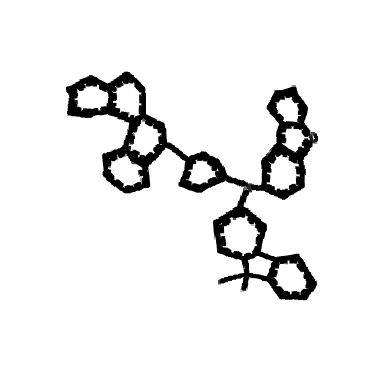 CC1(C)c2ccccc2-c2cc(N(c3ccc(-c4cc5ccc6ccccc6c5c5ccccc45)cc3)c3ccc4oc5ccccc5c4c3)ccc21